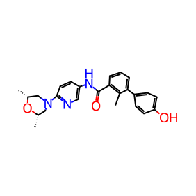 Cc1c(C(=O)Nc2ccc(N3C[C@@H](C)O[C@@H](C)C3)nc2)cccc1-c1ccc(O)cc1